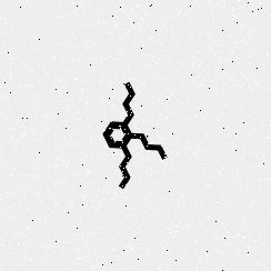 CCC[CH]c1c(CCCC)cccc1CCCC